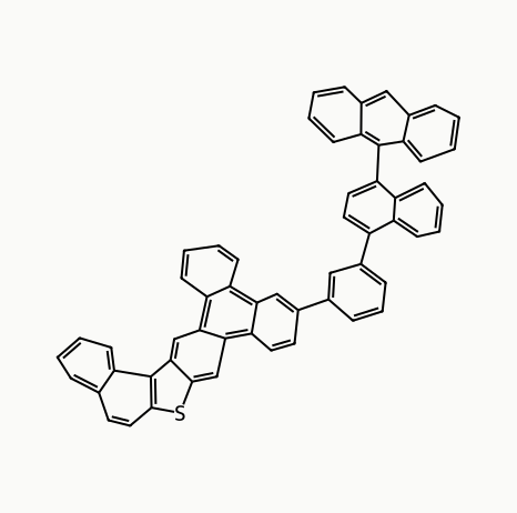 c1cc(-c2ccc3c(c2)c2ccccc2c2cc4c(cc32)sc2ccc3ccccc3c24)cc(-c2ccc(-c3c4ccccc4cc4ccccc34)c3ccccc23)c1